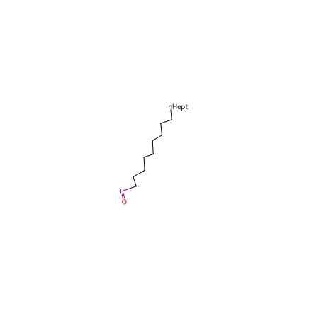 CCCCCCCCCCCCCCC[CH]P=O